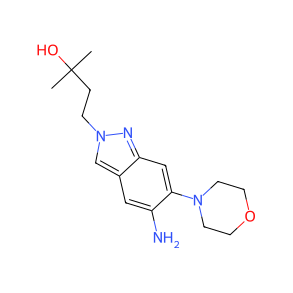 CC(C)(O)CCn1cc2cc(N)c(N3CCOCC3)cc2n1